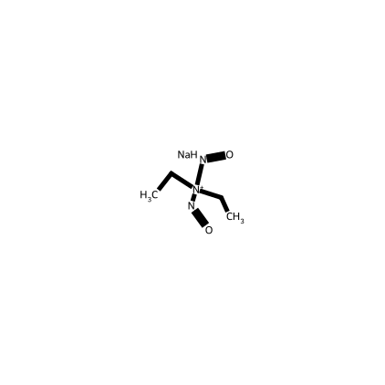 CC[N+](CC)(N=O)N=O.[NaH]